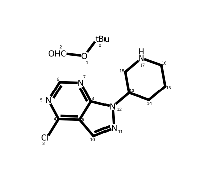 CC(C)(C)OC=O.Clc1ncnc2c1cnn2C1CCCNC1